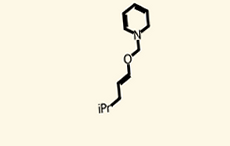 CC(C)CC=COCN1C=CC=CC1